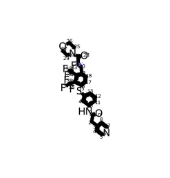 O=C(Cc1ccncc1)Nc1cccc(Sc2ccc(/C=C/C(=O)N3CCOCC3)c(C(F)(F)F)c2C(F)(F)F)c1